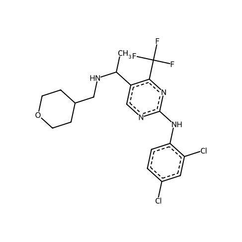 CC(NCC1CCOCC1)c1cnc(Nc2ccc(Cl)cc2Cl)nc1C(F)(F)F